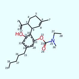 C=C(C)C1CCC(C)=CC1c1c(O)cc(CCCCC)cc1OC(=O)N(C)CC